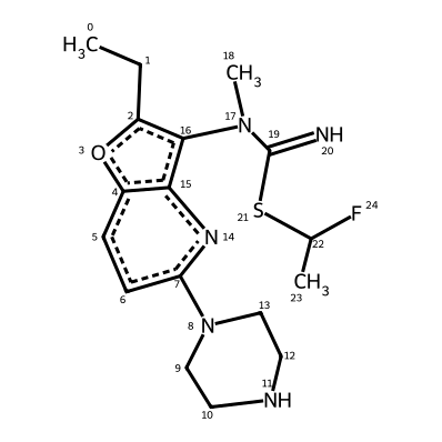 CCc1oc2ccc(N3CCNCC3)nc2c1N(C)C(=N)SC(C)F